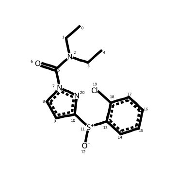 CCN(CC)C(=O)n1ccc([S+]([O-])c2ccccc2Cl)n1